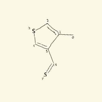 Cc1cscc1[C]=S